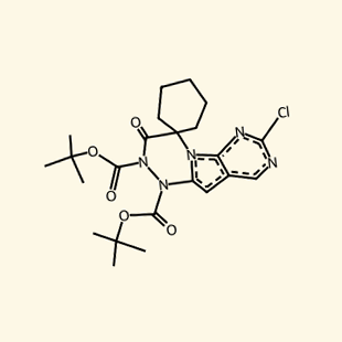 CC(C)(C)OC(=O)N1C(=O)C2(CCCCC2)n2c(cc3cnc(Cl)nc32)N1C(=O)OC(C)(C)C